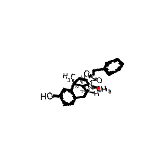 CN1CC[C@@]2(C)c3cc(O)ccc3C[C@@H]1[C@@H]2N(C)S(=O)(=O)Cc1ccccc1